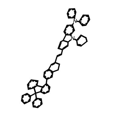 C1=CC(N2c3cc(N(c4ccccc4)c4ccccc4)ccc3C3C=CC(/C=C/C4=Cc5ccc(-c6cccc7c6-c6ccccc6C7(c6ccccc6)c6ccccc6)cc5CC4)=CC32)=CCC1